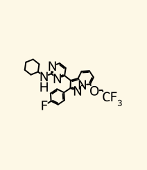 Fc1ccc(-c2nn3c(OCC(F)(F)F)cccc3c2-c2ccnc(NC3CCCCC3)n2)cc1